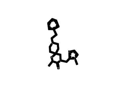 CC1OC2(CCN(CCc3ccccc3)CC2)CN(Cc2nccn2C)C1=O